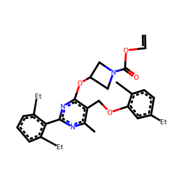 C=COC(=O)N1CC(Oc2nc(-c3c(CC)cccc3CC)nc(C)c2COc2cc(CC)ccc2C)C1